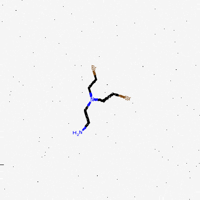 NCCN(CCBr)CCBr